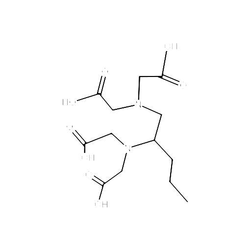 CCCC(CN(CC(=O)O)CC(=O)O)N(CC(=O)O)CC(=O)O